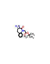 CC(C)(C)OC(=O)CN1C(=O)C(N)CCc2ccccc21